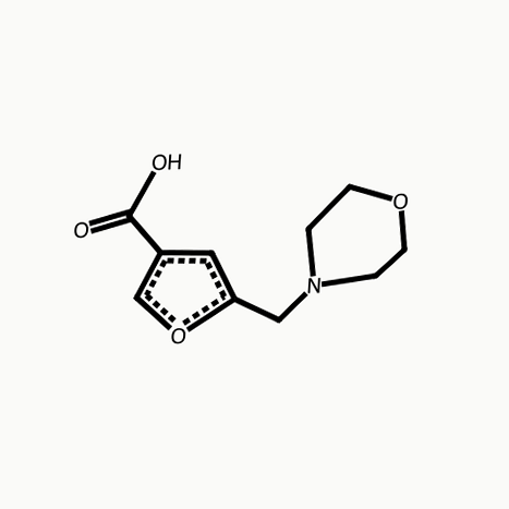 O=C(O)c1coc(CN2CCOCC2)c1